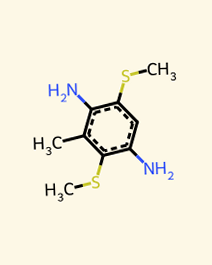 CSc1cc(N)c(SC)c(C)c1N